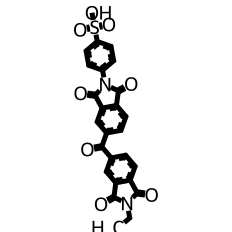 CCN1C(=O)c2ccc(C(=O)c3ccc4c(c3)C(=O)N(c3ccc(S(=O)(=O)O)cc3)C4=O)cc2C1=O